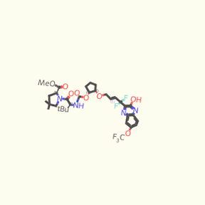 COC(=O)[C@@H]1CC(C)(C)CN1C(=O)[C@@H](NC(=O)O[C@@H]1CCC[C@H]1OC/C=C/C(F)(F)c1nc2cc(OC(F)(F)F)ccc2nc1O)C(C)(C)C